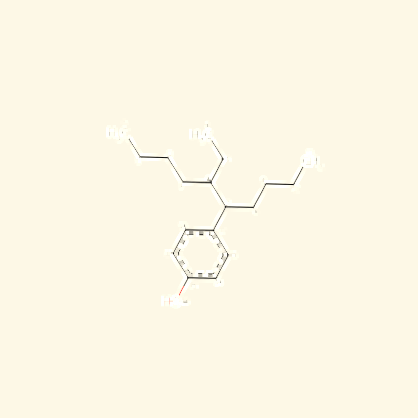 CCCCC(CC)C(CCCC)c1ccc(O)cc1